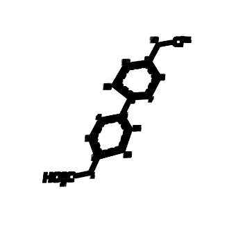 O=C(O)Cc1ccc(-c2ccc(CCl)cc2)cc1